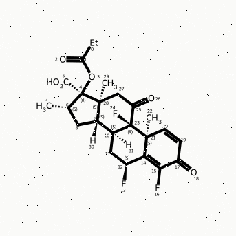 CCC(=O)O[C@]1(C(=O)O)[C@@H](C)C[C@H]2[C@@H]3C[C@H](F)C4=C(F)C(=O)C=C[C@]4(C)[C@@]3(F)C(=O)C[C@@]21C